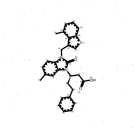 Cc1ccc2c(c1)n([C@H](CCc1ccccc1)CC(=O)O)c(=O)n2Cc1csc2cccc(C)c12